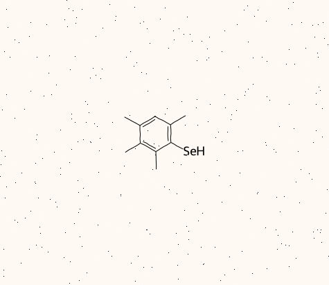 Cc1cc(C)c([SeH])c(C)c1C